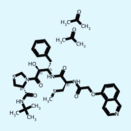 CC(C)=O.CC(C)=O.CSC[C@H](NC(=O)COc1cccc2cnccc12)C(=O)N[C@@H](Cc1ccccc1)[C@H](O)C(=O)N1CSC[C@H]1C(=O)NC(C)(C)C